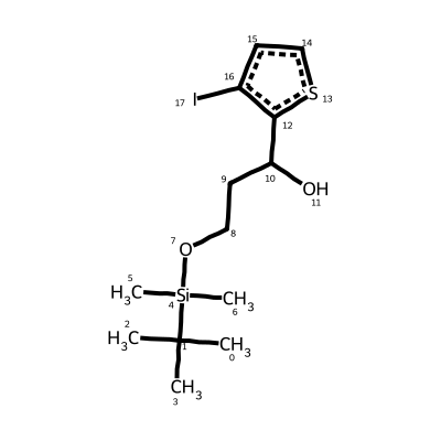 CC(C)(C)[Si](C)(C)OCCC(O)c1sccc1I